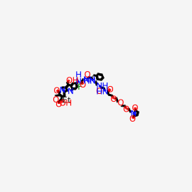 CC[C@@]1(O)C(=O)OCc2c1cc1n(c2=O)Cc2c-1nc1cc(F)c(NC(=O)CNC(=O)[C@H](Cc3ccccc3)NCCNC(=O)CNC(=O)CCOCCOCCOCCN3C(=O)C=CC3=O)cc1c2CO